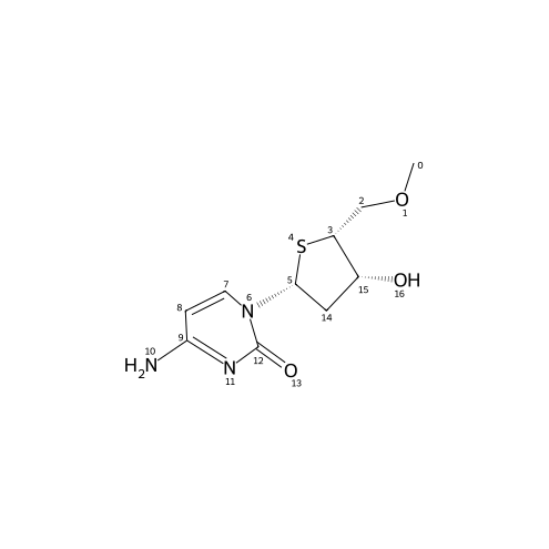 COC[C@H]1S[C@@H](n2ccc(N)nc2=O)C[C@H]1O